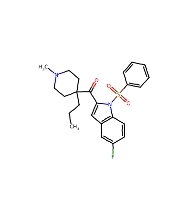 CCCC1(C(=O)c2cc3cc(F)ccc3n2S(=O)(=O)c2ccccc2)CCN(C)CC1